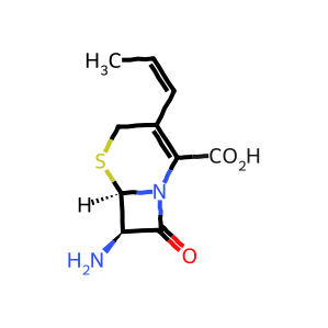 C/C=C\C1=C(C(=O)O)N2C(=O)[C@@H](N)[C@H]2SC1